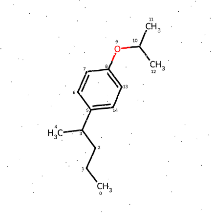 CCCC(C)c1ccc(OC(C)C)cc1